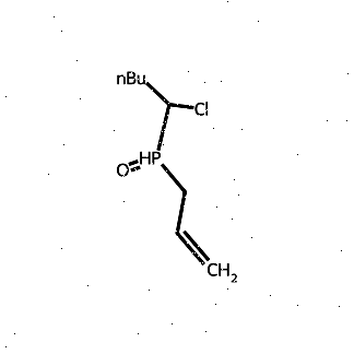 C=CC[PH](=O)C(Cl)CCCC